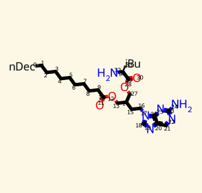 CCCCCCCCCCCCCCCCCCCC(=O)OCC(CCn1cnc2cnc(N)nc21)COC(=O)[C@@H](N)C(C)CC